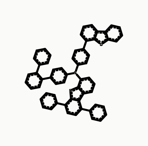 c1ccc(-c2ccccc2-c2ccc(N(c3ccc(-c4cccc5c4oc4ccccc45)cc3)c3cccc4c3sc3c(-c5ccccc5)ccc(-c5ccccc5)c34)cc2)cc1